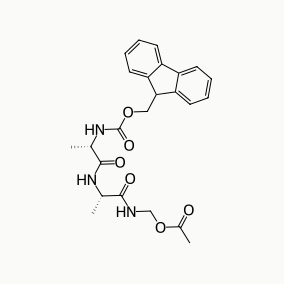 CC(=O)OCNC(=O)[C@H](C)NC(=O)[C@H](C)NC(=O)OCC1c2ccccc2-c2ccccc21